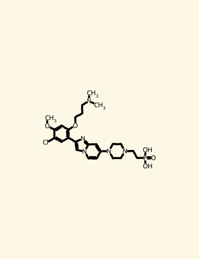 COc1cc(OCCCN(C)C)c(-c2cn3ccc(N4CCN(CCP(=O)(O)O)CC4)cc3n2)cc1Cl